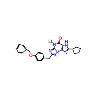 CCn1c(=O)c2[nH]c(C3CCCC3)nc2n2nc(Cc3ccc(OCc4ccccc4)cc3)nc12